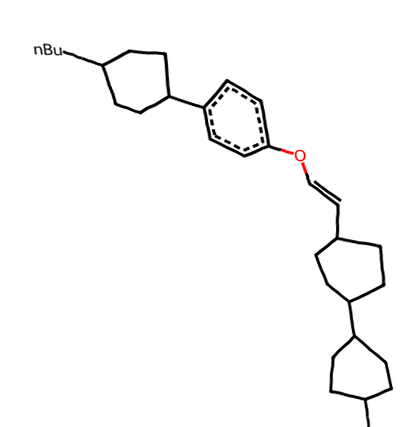 CCCCC1CCC(c2ccc(OC=CC3CCC(C4CCC(CCC)CC4)CC3)cc2)CC1